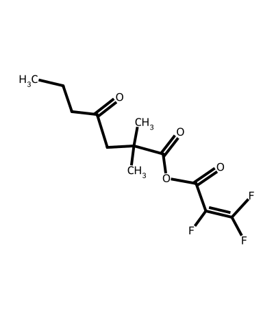 CCCC(=O)CC(C)(C)C(=O)OC(=O)C(F)=C(F)F